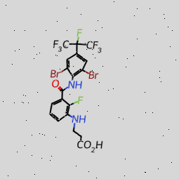 O=C(O)CCNc1cccc(C(=O)Nc2c(Br)cc(C(F)(C(F)(F)F)C(F)(F)F)cc2Br)c1F